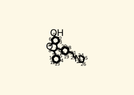 Oc1ccc2c(c1)OCC(c1ccccc1)C2c1ccc(CCN2CCCC2)cc1